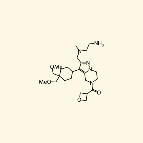 COCC1(COC)CCC(c2c(CN(C)CCN)nn3c2CN(C(=O)C2COC2)CC3)CC1